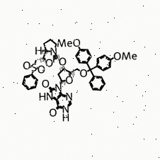 COc1ccc(C(OC[C@H]2O[C@@H](n3c(=O)[nH]c4c(=O)[nH]cnc43)C[C@@H]2O[P@@]2O[C@H](CS(=O)(=O)c3ccccc3)[C@@H]3CCCN32)(c2ccccc2)c2ccc(OC)cc2)cc1